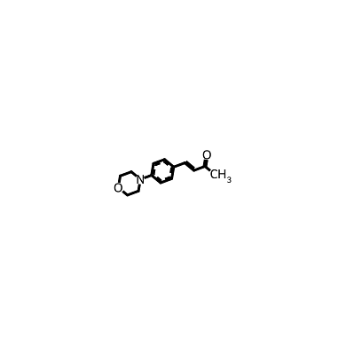 CC(=O)C=Cc1ccc(N2CCOCC2)cc1